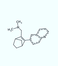 CN(C)CC1=C(c2ccc3ncccc3c2)C2CCC1C2